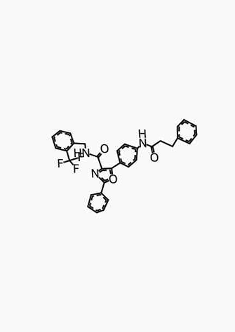 O=C(CCc1ccccc1)Nc1ccc(-c2oc(-c3ccccc3)nc2C(=O)NCc2ccccc2C(F)(F)F)cc1